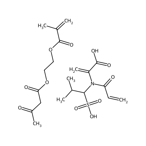 C=C(C)C(=O)OCCOC(=O)CC(C)=O.C=CC(=O)N(C(=C)C(=O)O)C(C(C)C)S(=O)(=O)O